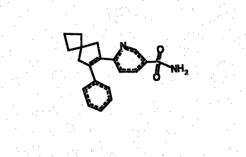 NS(=O)(=O)c1ccc(C2=C(c3ccccc3)CC3(CCC3)C2)nc1